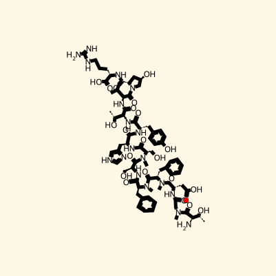 CC(C)[C@H](NC(=O)[C@@H](NC(=O)[C@H](Cc1ccc(O)cc1)NC(=O)[C@H](Cc1c[nH]cn1)NC(=O)[C@H](CO)N(C)C(=O)[C@H](CO)NC(=O)[C@H](Cc1ccccc1)N(C)C(=O)[C@H](Cc1ccccc1)N(C)C(=O)[C@H](CC(=O)O)NC(=O)CN(C)C(=O)[C@@H](N)[C@@H](C)O)[C@@H](C)O)C(=O)N1C[C@H](O)C[C@H]1C(=O)N[C@@H](CCCNC(=N)N)C(=O)O